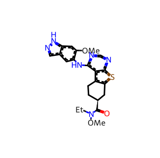 CCN(OC)C(=O)[C@H]1CCc2c(sc3ncnc(Nc4cc5cn[nH]c5cc4OC)c23)C1